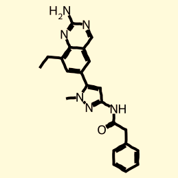 CCc1cc(-c2cc(NC(=O)Cc3ccccc3)nn2C)cc2cnc(N)nc12